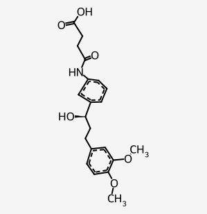 COc1ccc(CC[C@@H](O)c2cccc(NC(=O)CCC(=O)O)c2)cc1OC